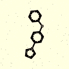 [c]1ccc(Oc2ccc(-n3cccc3)cc2)cc1